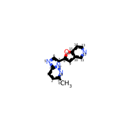 Cc1ccc2ncc(-c3cc4cnccc4o3)n2n1